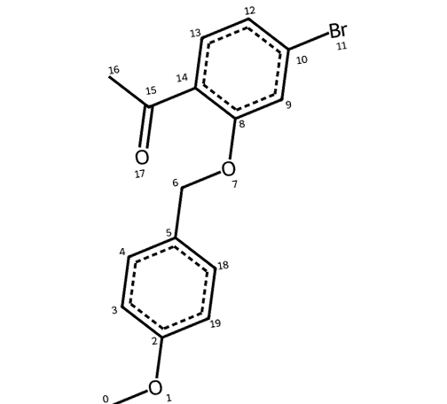 COc1ccc(COc2cc(Br)ccc2C(C)=O)cc1